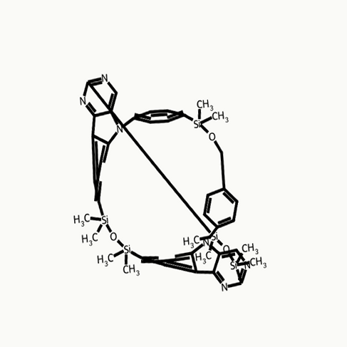 C[Si]1(C)OCc2ccc(cc2)-n2c3ccc4cc3c3nc(ncc32)[Si](C)(C)O[Si](C)(C)c2ncc3c(n2)c2cc(ccc2n3-c2ccc1cc2)[Si](C)(C)O[Si]4(C)C